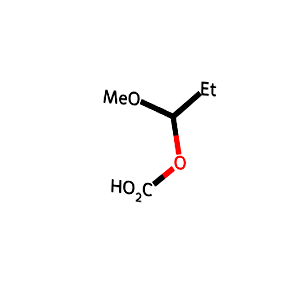 CCC(OC)OC(=O)O